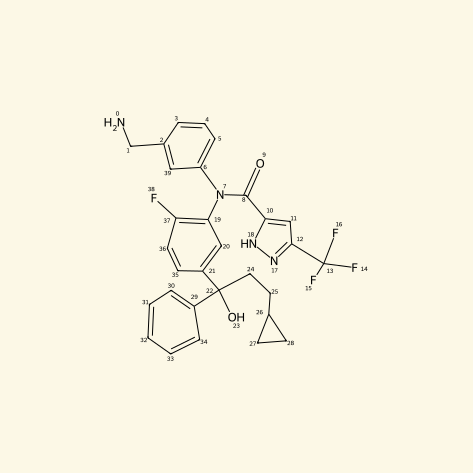 NCc1cccc(N(C(=O)c2cc(C(F)(F)F)n[nH]2)c2cc(C(O)(CCC3CC3)c3ccccc3)ccc2F)c1